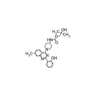 Cc1ccc2c(N3CCC(NC(=O)OCC(C)(C)O)CC3)nc(-c3ccccc3O)nc2c1